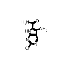 NC(=O)c1[nH]c2nc(Cl)ncc2c1N